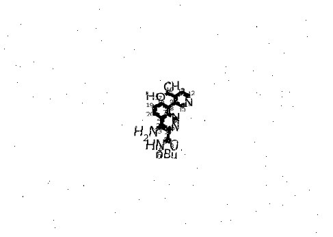 CCCCNC(=O)c1nnc2c(-c3cnccc3C(C)O)cccc2c1N